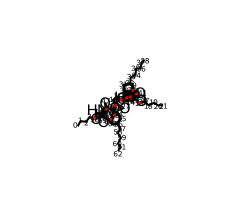 CCCCCCC1=CC2(c3ccc(C45C=C(CCCCCC)C(C(=O)NC4=O)c4c5c5cc(CCCCCC)c4c(=O)[nH]c5=O)s3)C(=O)NC(=O)C1c1c2c2cc(CCCCCC)c1c(=O)[nH]c2=O